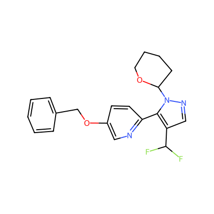 FC(F)c1cnn(C2CCCCO2)c1-c1ccc(OCc2ccccc2)cn1